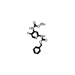 CC(C)(C)OC(=O)Nc1cc(NC(=O)OCc2ccccc2)ncc1F